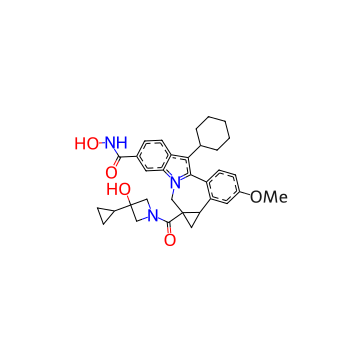 COc1ccc2c(c1)C1CC1(C(=O)N1CC(O)(C3CC3)C1)Cn1c-2c(C2CCCCC2)c2ccc(C(=O)NO)cc21